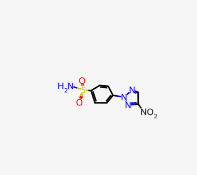 NS(=O)(=O)c1ccc(-n2ncc([N+](=O)[O-])n2)cc1